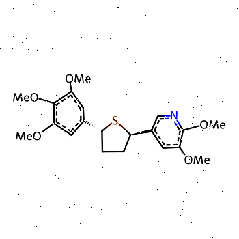 COc1cc([C@H]2CC[C@H](c3cc(OC)c(OC)c(OC)c3)S2)cnc1OC